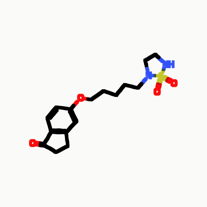 O=C1CCc2cc(OCCCCCN3CCNS3(=O)=O)ccc21